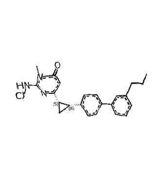 CCCc1cccc(-c2ccc([C@@H]3C[C@@H]3c3cc(=O)n(C)c(NCl)n3)cc2)c1